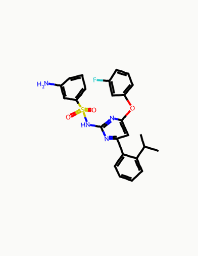 CC(C)c1ccccc1-c1cc(Oc2cccc(F)c2)nc(NS(=O)(=O)c2cccc(N)c2)n1